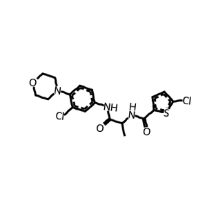 CC(NC(=O)c1ccc(Cl)s1)C(=O)Nc1ccc(N2CCOCC2)c(Cl)c1